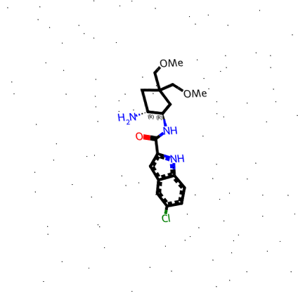 COCC1(COC)C[C@@H](N)[C@H](NC(=O)c2cc3cc(Cl)ccc3[nH]2)C1